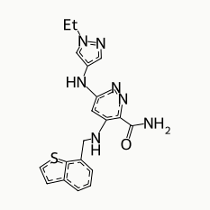 CCn1cc(Nc2cc(NCc3cccc4ccsc34)c(C(N)=O)nn2)cn1